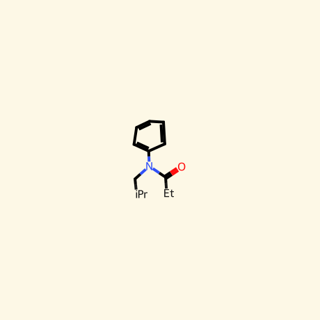 CCC(=O)N(CC(C)C)c1ccccc1